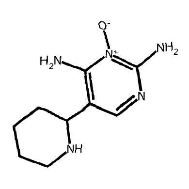 Nc1ncc(C2CCCCN2)c(N)[n+]1[O-]